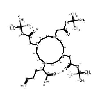 CC(C)(C)OC(=O)CN1CCN(CC(=O)OC(C)(C)C)CCN(C(CCC=O)C(=O)O)CCN(CC(=O)OC(C)(C)C)CC1